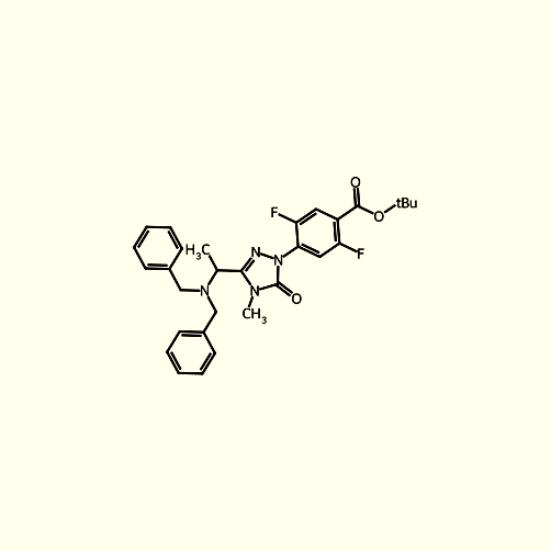 CC(c1nn(-c2cc(F)c(C(=O)OC(C)(C)C)cc2F)c(=O)n1C)N(Cc1ccccc1)Cc1ccccc1